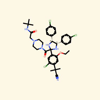 CCOc1cc(C(C)(C)C#N)c(Cl)cc1C1(C(=O)N2CCN(CC(=O)NC(C)(C)C)CC2)N[C@H](c2ccc(Cl)cc2)[C@H](c2ccc(Cl)cc2)N1